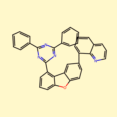 c1ccc(-c2nc(-c3ccccc3)nc(-c3cccc4oc5ccc(-c6cccc7cccnc67)cc5c34)n2)cc1